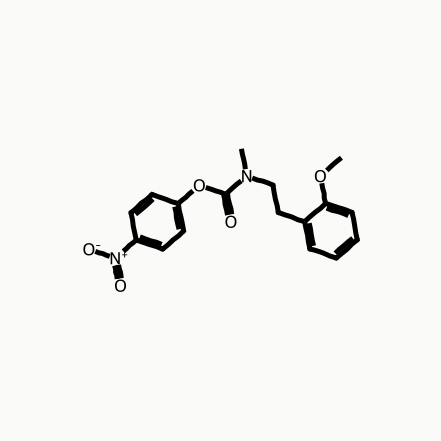 COc1ccccc1CCN(C)C(=O)Oc1ccc([N+](=O)[O-])cc1